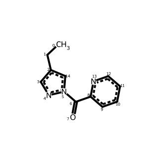 CCc1cnn(C(=O)c2ccccn2)c1